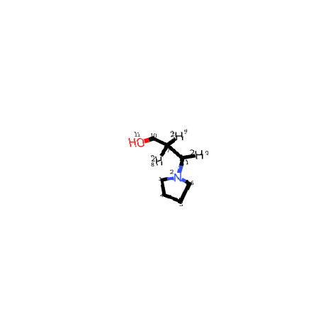 [2H]C(N1CCCC1)C([2H])([2H])CO